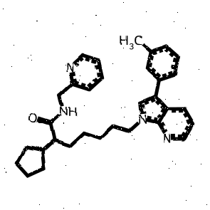 Cc1cccc(-c2cn(CCCCCC(C(=O)NCc3ccccn3)C3CCCC3)c3ncccc23)c1